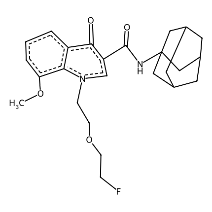 COc1cccc2c(=O)c(C(=O)NC34CC5CC(CC(C5)C3)C4)cn(CCOCCF)c12